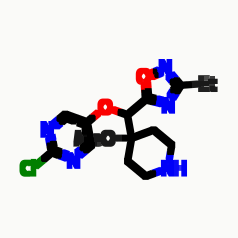 CCc1noc(C(Oc2cnc(Cl)nc2)C2(OC)CCNCC2)n1